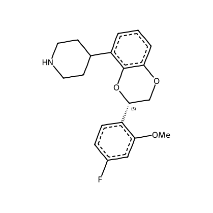 COc1cc(F)ccc1[C@H]1COc2cccc(C3CCNCC3)c2O1